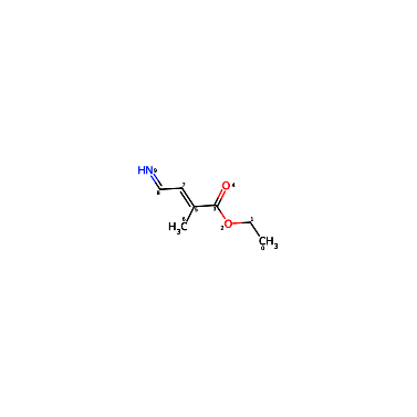 CCOC(=O)/C(C)=C/C=N